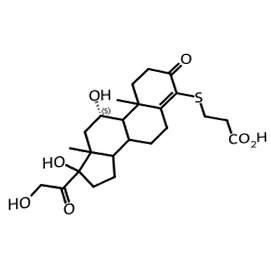 CC12CCC(=O)C(SCCC(=O)O)=C1CCC1C2[C@@H](O)CC2(C)C1CCC2(O)C(=O)CO